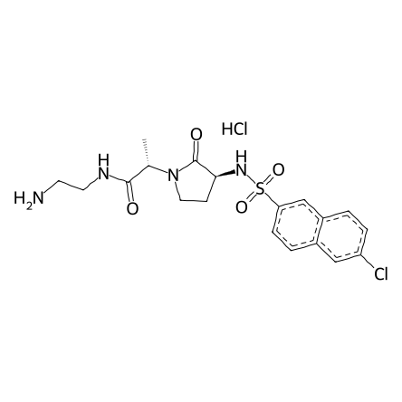 C[C@@H](C(=O)NCCN)N1CC[C@H](NS(=O)(=O)c2ccc3cc(Cl)ccc3c2)C1=O.Cl